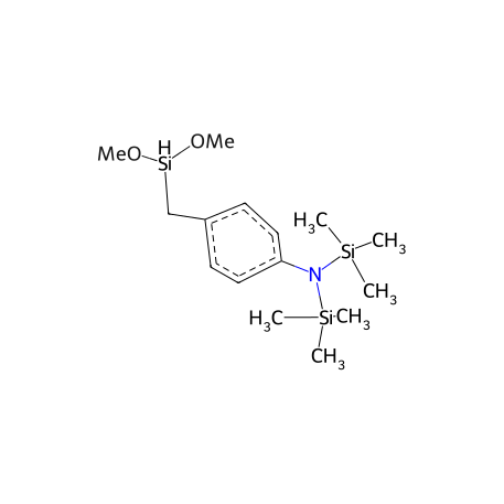 CO[SiH](Cc1ccc(N([Si](C)(C)C)[Si](C)(C)C)cc1)OC